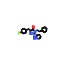 N[C@H](Cc1ccc(F)cc1)C(=O)N(CCc1ccccc1)C[C@@H]1CCCN1